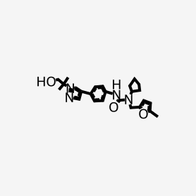 Cc1ccc(CN(C(=O)Nc2ccc(-c3cnn(C(C)(C)CO)c3)cc2)C2CCCC2)o1